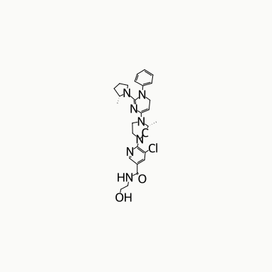 C[C@@H]1CN(c2ncc(C(=O)NCCO)cc2Cl)CCN1C1=CCN(c2ccccc2)C(N2CCC[C@H]2C)=N1